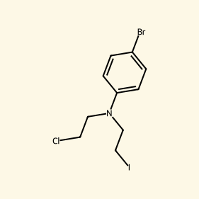 ClCCN(CCI)c1ccc(Br)cc1